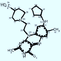 C=c1nc2c(c(=O)[nH]1)=Nc1cc(C)c(NC3CCCC3)cc1N2CCN1CCC(C(=O)O)CC1